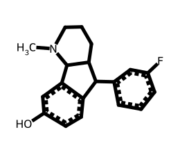 CN1CCCC2C(c3cccc(F)c3)c3ccc(O)cc3C21